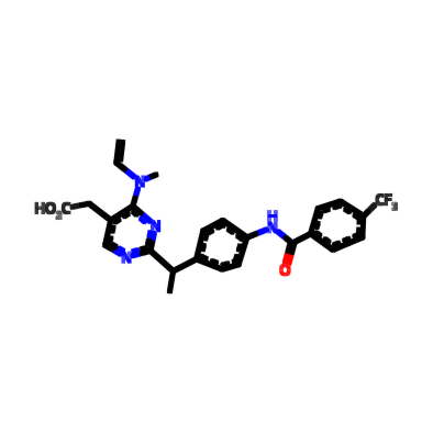 C=CN(C)c1nc(C(C)c2ccc(NC(=O)c3ccc(C(F)(F)F)cc3)cc2)ncc1CC(=O)O